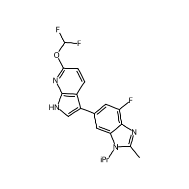 Cc1nc2c(F)cc(-c3c[nH]c4nc(OC(F)F)ccc34)cc2n1C(C)C